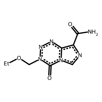 CCOCn1nnc2c(C(N)=O)ncn2c1=O